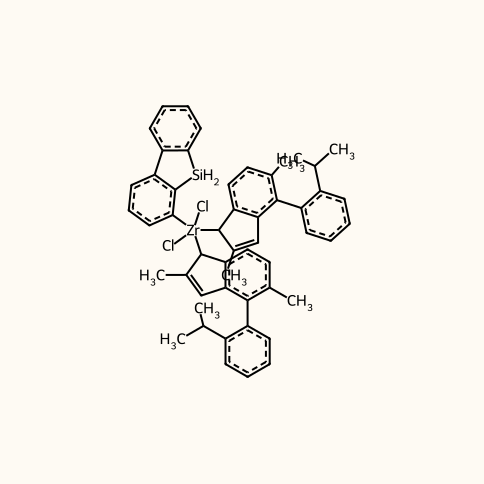 CC1=Cc2c(ccc(C)c2-c2ccccc2C(C)C)[CH]1[Zr]([Cl])([Cl])([c]1cccc2c1[SiH2]c1ccccc1-2)[CH]1C(C)=Cc2c1ccc(C)c2-c1ccccc1C(C)C